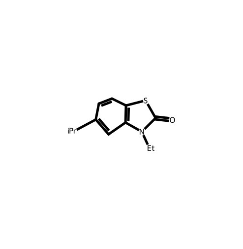 CCn1c(=O)sc2ccc(C(C)C)cc21